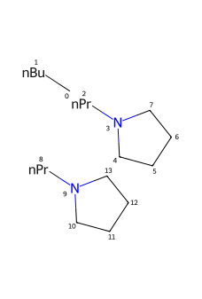 CCCCC.CCCN1CCCC1.CCCN1CCCC1